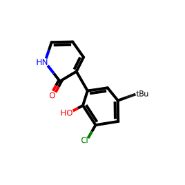 CC(C)(C)c1cc(Cl)c(O)c(-c2ccc[nH]c2=O)c1